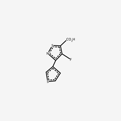 O=C(O)c1snc(-c2ccsc2)c1F